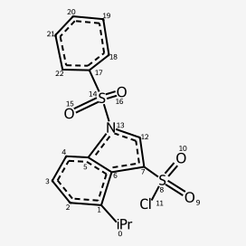 CC(C)c1cccc2c1c(S(=O)(=O)Cl)cn2S(=O)(=O)c1ccccc1